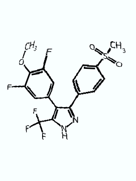 COc1c(F)cc(-c2c(-c3ccc(S(C)(=O)=O)cc3)n[nH]c2C(F)(F)F)cc1F